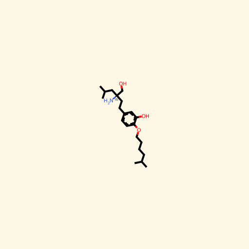 CC(C)CCCCOc1ccc(CC[C@@](N)(CO)CC(C)C)cc1O